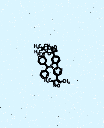 Cc1noc(C)c1-c1cnc2c3ccc(C4(O[Si](C)(C)C(C)(C)C)COC4)cc3n(C(c3ccccc3)C3CCOCC3)c2c1